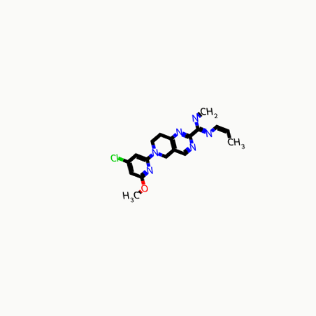 C=N/C(=N\C=C/C)c1ncc2c(n1)CCN(c1cc(Cl)cc(OC)n1)C2